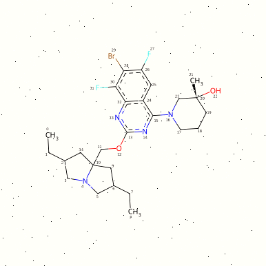 CCC1CN2CC(CC)CC2(COc2nc(N3CCC[C@@](C)(O)C3)c3cc(F)c(Br)c(F)c3n2)C1